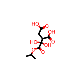 CC(C)OC(=O)C(O)(O)C(CC(=O)O)C(=O)O